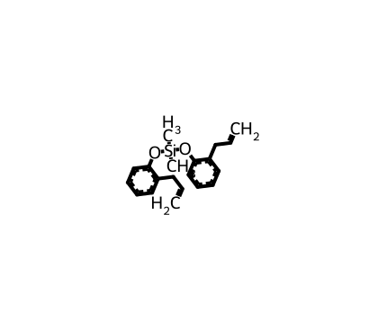 C=CCc1ccccc1O[Si](C)(C)Oc1ccccc1CC=C